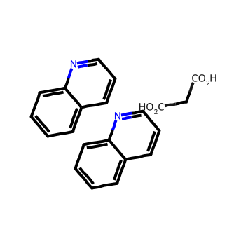 O=C(O)CC(=O)O.c1ccc2ncccc2c1.c1ccc2ncccc2c1